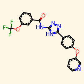 O=C(Nc1nnc(-c2ccc(Oc3cccnc3)cc2)[nH]1)c1cccc(OC(F)(F)F)c1